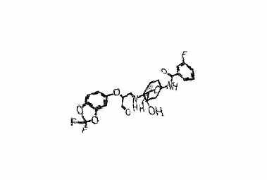 O=CC(CNC12CCC(NC(=O)c3cccc(F)c3)(CC1)C[C@@H]2O)Oc1ccc2c(c1)OC(F)(F)O2